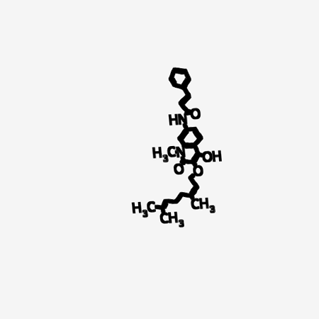 CC(C)=CCCC(C)=CCOc1c(O)c2ccc(NC(=O)C=Cc3ccccc3)cc2n(C)c1=O